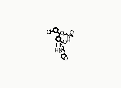 C=C(NCCOC(c1cccc(Cl)c1)c1cccc(C(=O)NCC(C[C@H]2CCCOC2)NC)c1)OC